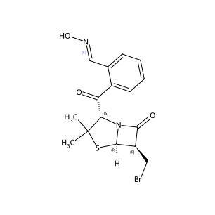 CC1(C)S[C@@H]2[C@H](CBr)C(=O)N2[C@H]1C(=O)c1ccccc1/C=N/O